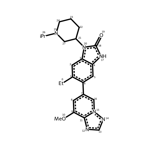 CCc1cc2c(cc1-c1cc(OC)c3ncnn3c1)[nH]c(=O)n2C1CCCN(C(C)C)C1